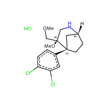 COC[C@]1(OC)CN[C@@H]2CC[C@@]1(c1ccc(Cl)c(Cl)c1)C2.Cl